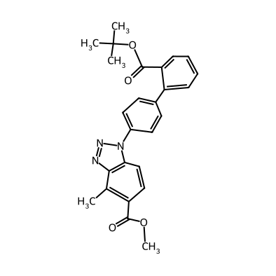 COC(=O)c1ccc2c(nnn2-c2ccc(-c3ccccc3C(=O)OC(C)(C)C)cc2)c1C